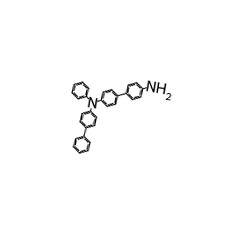 Nc1ccc(-c2ccc(N(c3ccccc3)c3ccc(-c4ccccc4)cc3)cc2)cc1